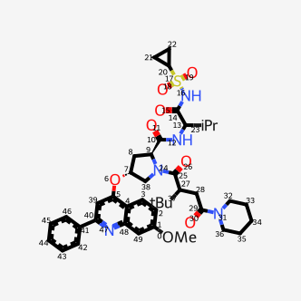 COc1ccc2c(O[C@@H]3C[C@@H](C(=O)NC(C(=O)NS(=O)(=O)C4CC4)C(C)C)N(C(=O)C(CC(=O)N4CCCCC4)C(C)(C)C)C3)cc(-c3ccccc3)nc2c1